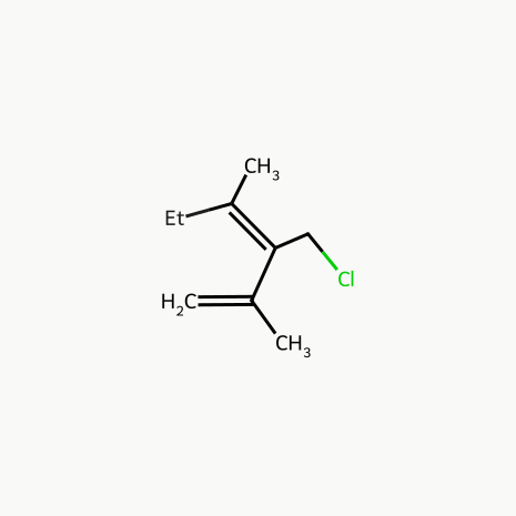 C=C(C)/C(CCl)=C(/C)CC